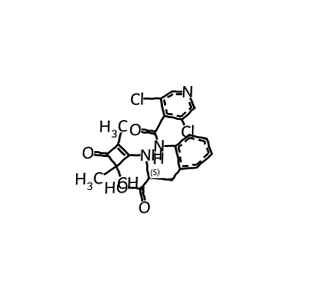 CC1=C(N[C@@H](Cc2ccccc2NC(=O)c2c(Cl)cncc2Cl)C(=O)O)C(C)(C)C1=O